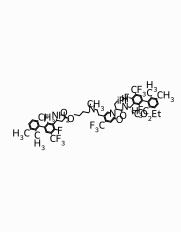 CCOC(=O)C[C@H](NC(=O)C(CC(C)C)n1cc(CCN(C)CCCCOC(=O)C[C@H](N)c2c(F)c(-c3c(C)ccc(C)c3C)cc(C(F)(F)F)c2F)c(C(F)(F)F)cc1=O)c1c(F)c(-c2c(C)ccc(C)c2C)cc(C(F)(F)F)c1F